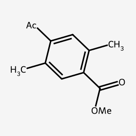 COC(=O)c1cc(C)c(C(C)=O)cc1C